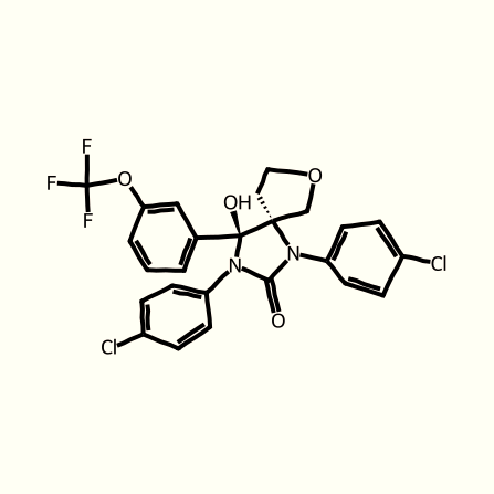 O=C1N(c2ccc(Cl)cc2)[C@@]2(CCOC2)[C@@](O)(c2cccc(OC(F)(F)F)c2)N1c1ccc(Cl)cc1